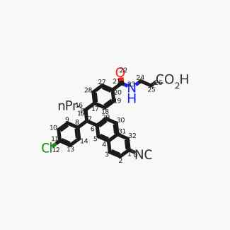 [C-]#[N+]c1ccc2cc(C(c3ccc(Cl)cc3)[C@H](CCC)c3ccc(C(=O)NCCC(=O)O)cc3)ccc2c1